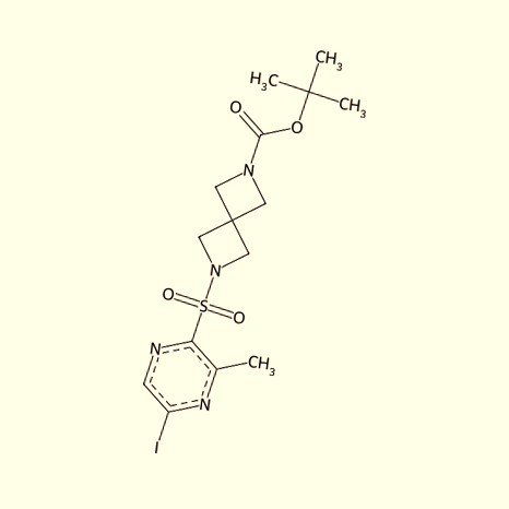 Cc1nc(I)cnc1S(=O)(=O)N1CC2(CN(C(=O)OC(C)(C)C)C2)C1